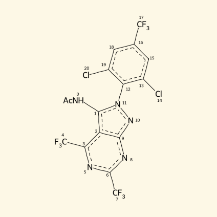 CC(=O)Nc1c2c(C(F)(F)F)nc(C(F)(F)F)nc2nn1-c1c(Cl)cc(C(F)(F)F)cc1Cl